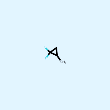 CC1[CH]C1(F)F